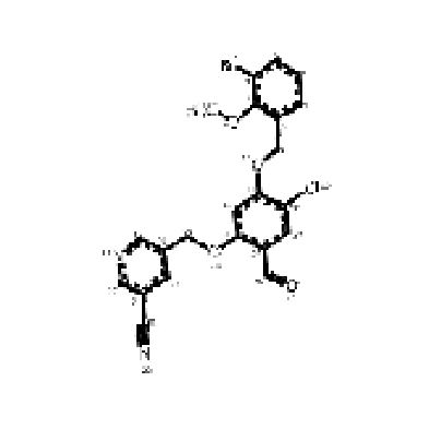 COc1c(Br)cccc1COc1cc(OCc2cncc(C#N)c2)c(C=O)cc1Cl